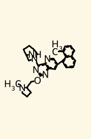 Cc1cccc2cccc(-c3cnc4c(N5CC6CCC(C5)N6)nc(OCC5CCCN5C)nc4c3)c12